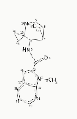 Cn1c(C(=O)NC2C3CCN(CC3)C23CC3)cc2ccccc21